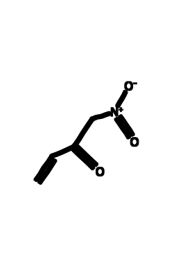 C=CC(=O)C[N+](=O)[O-]